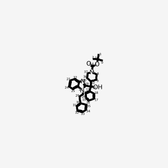 CC(C)(C)OC(=O)N1CCC(C(O)(c2ccccc2)c2nc3ccccc3n2CCc2ccccc2)CC1